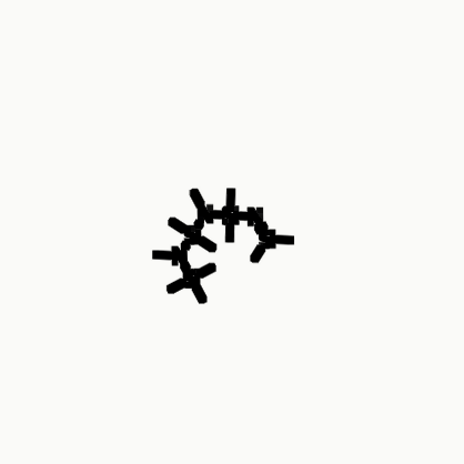 CN([Si](C)(C)C)[Si](C)(C)N(C)[Si](C)(C)N=[Si](C)C